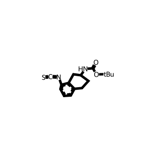 CC(C)(C)OC(=O)NC1CCc2cccc(N=C=S)c2C1